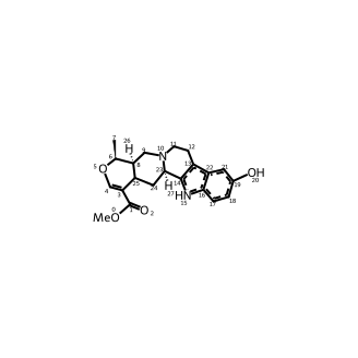 COC(=O)C1=CO[C@@H](C)[C@H]2CN3CCc4c([nH]c5ccc(O)cc45)[C@H]3CC12